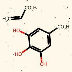 C=CC(=O)O.O=C(O)c1cc(O)c(O)c(O)c1